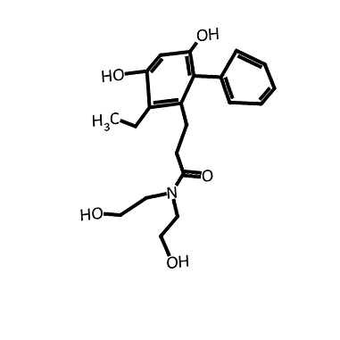 CCc1c(O)cc(O)c(-c2ccccc2)c1CCC(=O)N(CCO)CCO